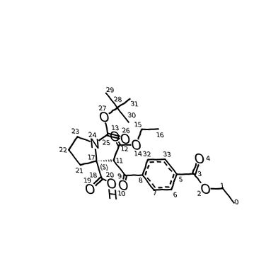 CCOC(=O)c1ccc(C(=O)C(C(=O)OCC)[C@]2(C(=O)O)CCCN2C(=O)OC(C)(C)C)cc1